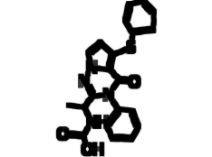 CC(NC(=O)O)c1nn2ccc(Sc3ccccc3)c2c(=O)n1-c1ccccc1